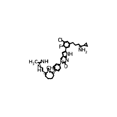 CC(=N)NCC[C@@H]1CCCC[C@@H](c2ccc(-n3cc4cc(-c5cc(CCC[C@@H](N)C6CC6)cc(Cl)c5F)[nH]c4nc3=O)cc2)N1C